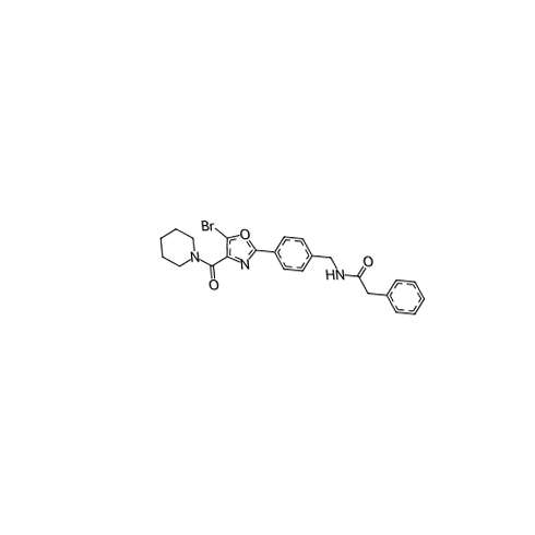 O=C(Cc1ccccc1)NCc1ccc(-c2nc(C(=O)N3CCCCC3)c(Br)o2)cc1